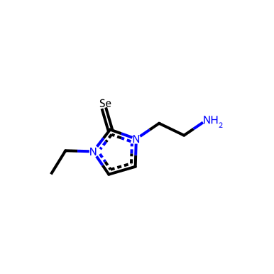 CCn1ccn(CCN)c1=[Se]